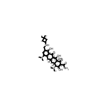 CN(C)c1cc(CNC2CC(C)(C)C2)c(O)c2c1C[C@H]1C[C@H]3[C@H](N(C)C)C(O)=C(C(N)=O)C(=O)[C@@]3(O)C(O)=C1C2=O